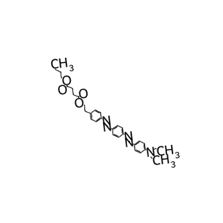 CCCCOC(=O)CCC(=O)OCCc1ccc(N=Nc2ccc(N=Nc3ccc(N(CC)CC)cc3)cc2)cc1